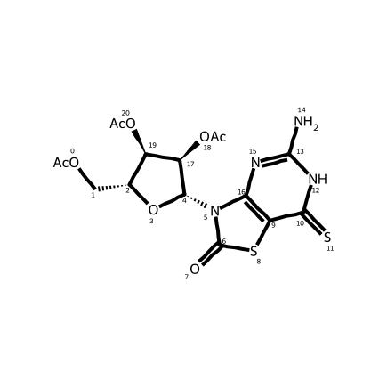 CC(=O)OC[C@H]1O[C@@H](n2c(=O)sc3c(=S)[nH]c(N)nc32)[C@H](OC(C)=O)[C@@H]1OC(C)=O